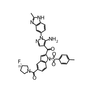 Cc1ccc(S(=O)(=O)n2c(C(=O)c3cnn(-c4ccc5[nH]c(C)nc5c4)c3N)cc3cc(C(=O)N4CC[C@H](F)C4)ccc32)cc1